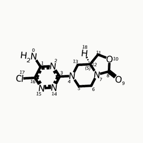 Nc1nc(N2CCN3C(=O)OC[C@@H]3C2)nnc1Cl